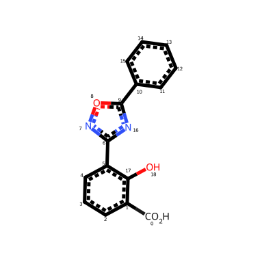 O=C(O)c1cccc(-c2noc(-c3ccccc3)n2)c1O